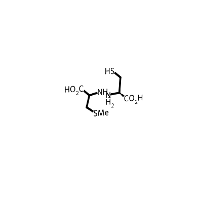 CSCC(N)C(=O)O.N[C@@H](CS)C(=O)O